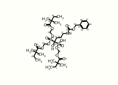 CCC(C)(C)C(=O)OCOP(=O)(O)C(O)(CCCNC(=O)OCc1ccccc1)P(=O)(OCOC(=O)C(C)(C)CC)OCOC(=O)C(C)(C)CC